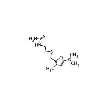 Cc1cc(N(C)C)oc1CSCCNC(N)=S